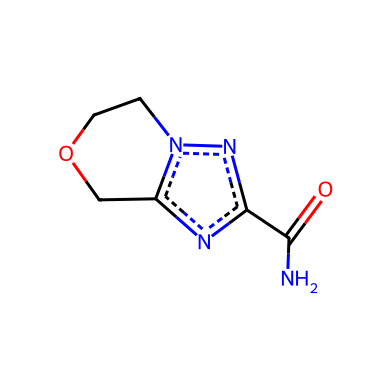 NC(=O)c1nc2n(n1)CCOC2